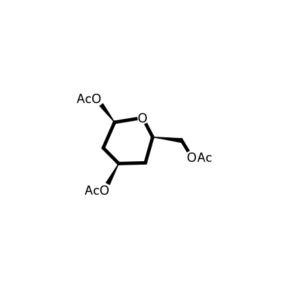 CC(=O)OC[C@H]1C[C@@H](OC(C)=O)C[C@@H](OC(C)=O)O1